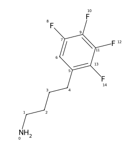 NCCCCc1cc(F)c(F)c(F)c1F